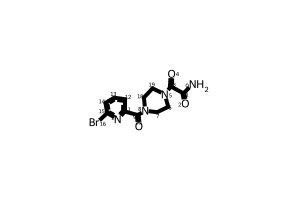 NC(=O)C(=O)N1CCN(C(=O)c2cccc(Br)n2)CC1